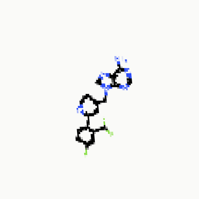 Nc1ncnc2c1ncn2Cc1ccnc(-c2ccc(F)cc2C(F)F)c1